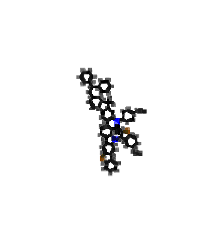 CC(C)(C)c1ccc(Nc2cc3c(cc2-c2ccc4c5cc6sc7ccccc7c6cc5n5c4c2Bc2sc4ccc(C(C)(C)C)cc4c2-5)-c2ccc(CC(c4ccccc4)c4ccccc4)cc2C3(C)C)cc1